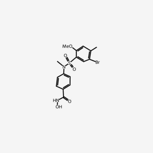 COc1cc(C)c(Br)cc1S(=O)(=O)N(C)c1ccc(C(=O)NO)cc1